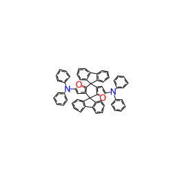 c1ccc(N(c2ccccc2)c2cc3c(o2)C2(c4ccccc4-c4ccccc42)c2cc(N(c4ccccc4)c4ccccc4)oc2C32c3ccccc3-c3ccccc32)cc1